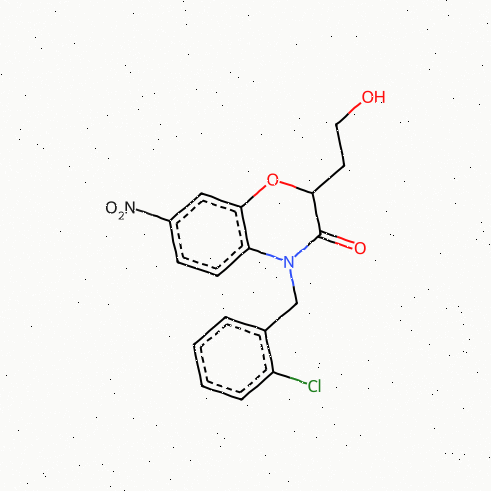 O=C1C(CCO)Oc2cc([N+](=O)[O-])ccc2N1Cc1ccccc1Cl